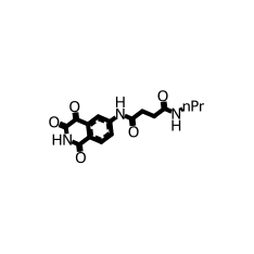 CCCNC(=O)CCC(=O)Nc1ccc2c(c1)C(=O)C(=O)NC2=O